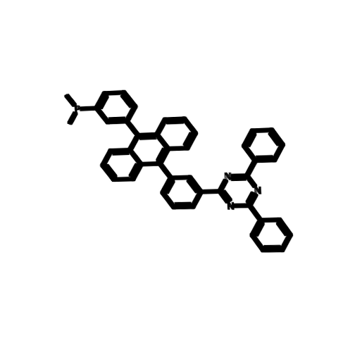 CP(C)c1cccc(-c2c3ccccc3c(-c3cccc(-c4nc(-c5ccccc5)nc(-c5ccccc5)n4)c3)c3ccccc23)c1